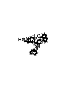 CCc1cccc2cccc(N3CCc4c(nc(OCC56CCCN5CCC6)nc4N4CCCn5nc(CO)cc5C4)C3)c12